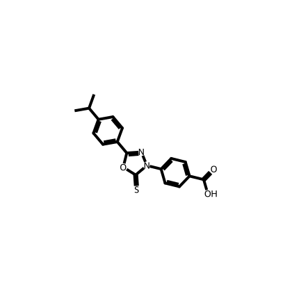 CC(C)c1ccc(-c2nn(-c3ccc(C(=O)O)cc3)c(=S)o2)cc1